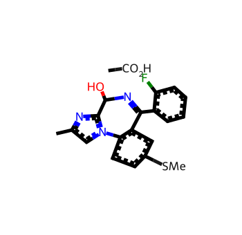 CC(=O)O.CSc1ccc2c(c1)C(c1ccccc1F)=NC(O)c1nc(C)cn1-2